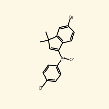 CC1(C)C=C([S+]([O-])c2ccc(Cl)cc2)c2ccc(Br)cc21